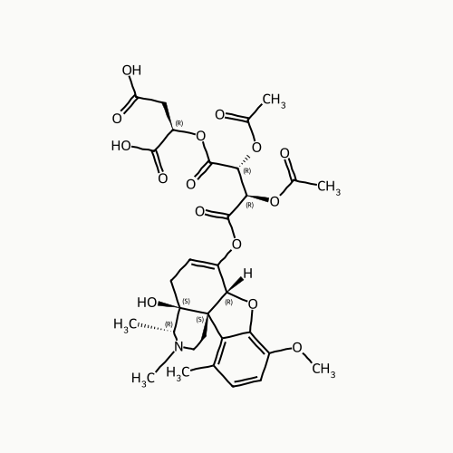 COc1ccc(C)c2c1O[C@H]1C(OC(=O)[C@H](OC(C)=O)[C@@H](OC(C)=O)C(=O)O[C@H](CC(=O)O)C(=O)O)=CC[C@@]3(O)[C@@H](C)N(C)CC[C@]213